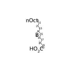 CCCCCCCCCCCCCCCCCC(=O)O.[B]